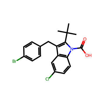 CC(C)(C)c1c(Cc2ccc(Br)cc2)c2cc(Cl)ccc2n1C(=O)O